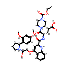 CCOC(=O)N1CCN(C(=O)[C@H](CCC(=O)O)NC(=O)c2cc(OCC(=O)N3CCCC3c3ccc(OC)cc3OC)c3ccccc3n2)CC1